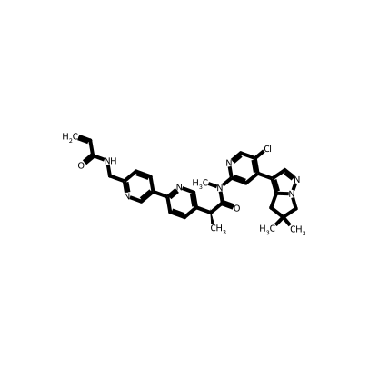 C=CC(=O)NCc1ccc(-c2ccc([C@H](C)C(=O)N(C)c3cc(-c4cnn5c4CC(C)(C)C5)c(Cl)cn3)cn2)cn1